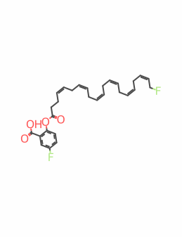 O=C(CC/C=C\C/C=C\C/C=C\C/C=C\C/C=C\C/C=C\CF)Oc1ccc(F)cc1C(=O)O